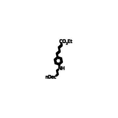 CCCCCCCCCCCCNc1ccc(C=CC=CC(=O)OCC)cc1